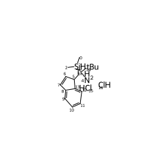 C[SiH](C)[Ti]([NH2])([CH]1C=Cc2ccccc21)[C](C)(C)C.Cl.Cl